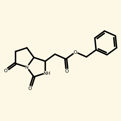 O=C(CC1NC(=O)N2C(=O)CCC12)OCc1ccccc1